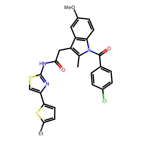 CCc1ccc(-c2csc(NC(=O)Cc3c(C)n(C(=O)c4ccc(Cl)cc4)c4ccc(OC)cc34)n2)s1